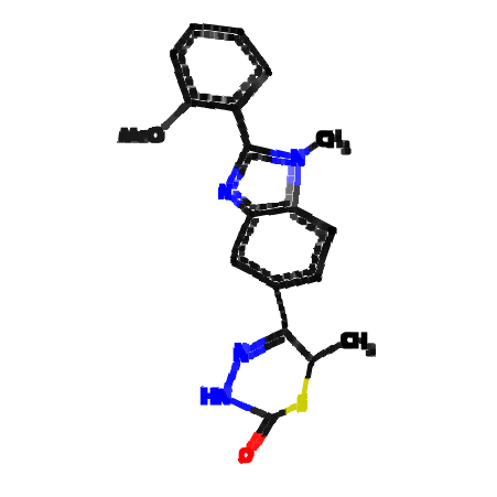 COc1ccccc1-c1nc2cc(C3=NNC(=O)SC3C)ccc2n1C